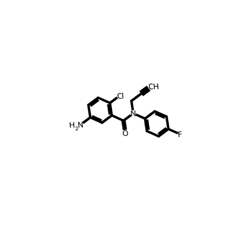 C#CCN(C(=O)c1cc(N)ccc1Cl)c1ccc(F)cc1